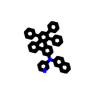 c1ccc(-c2cc(-c3ccccc3)c3c4ccccc4c4cc(N(c5cccnc5)c5ccc6ccccc6c5)ccc4c3c2-c2ccccc2)cc1